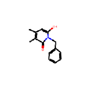 Cc1cc(O)n(Cc2ccccc2)c(=O)c1C